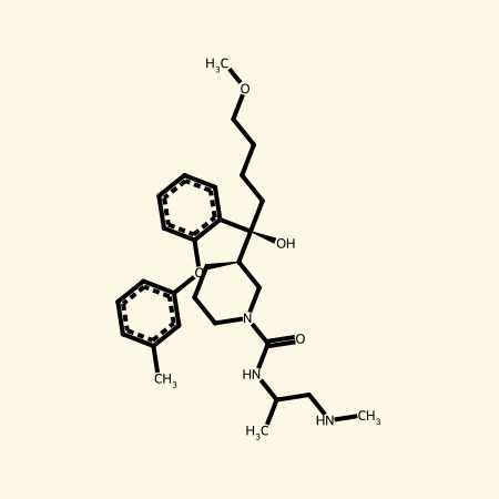 CNCC(C)NC(=O)N1CCC[C@@H]([C@@](O)(CCCCOC)c2ccccc2Oc2cccc(C)c2)C1